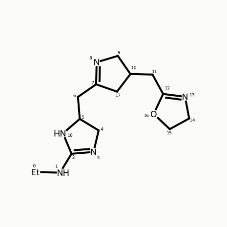 CCNC1=NCC(CC2=NCC(CC3=NCCO3)C2)N1